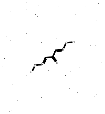 O=C(C=NOCl)C=NOCl